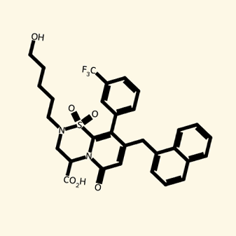 O=C(O)C1CN(CCCCCO)S(=O)(=O)c2c(-c3cccc(C(F)(F)F)c3)c(Cc3cccc4ccccc34)cc(=O)n21